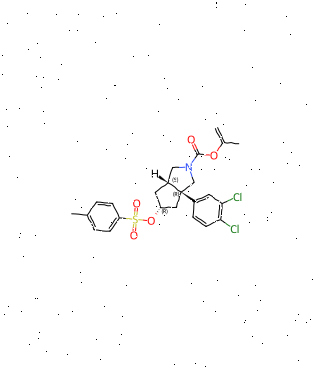 C=C(C)OC(=O)N1C[C@H]2C[C@@H](OS(=O)(=O)c3ccc(C)cc3)C[C@@]2(c2ccc(Cl)c(Cl)c2)C1